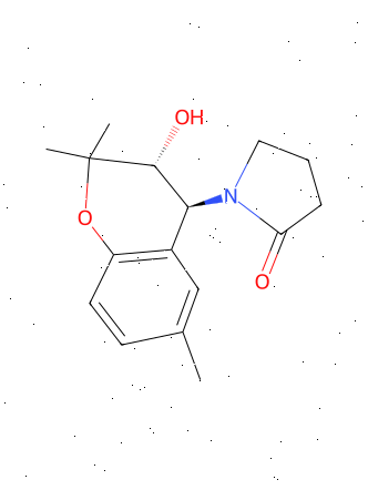 Cc1ccc2c(c1)[C@H](N1CCCC1=O)[C@@H](O)C(C)(C)O2